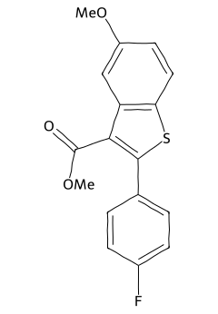 COC(=O)c1c(-c2ccc(F)cc2)sc2ccc(OC)cc12